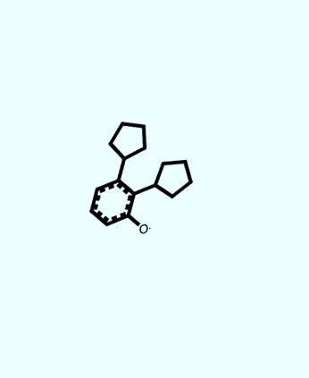 [O]c1cccc(C2CCCC2)c1C1CCCC1